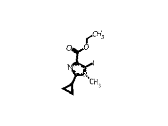 CCOC(=O)c1nc(C2CC2)n(C)c1I